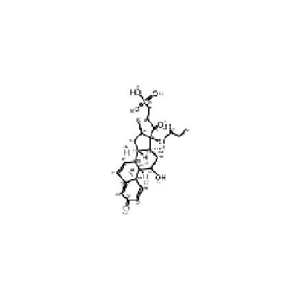 CCC(=O)O[C@]1(C(=O)CCS(=O)(=O)O)C(C)C[C@H]2[C@@H]3C=CC4=CC(=O)C=C[C@]4(C)[C@H]3C(O)C[C@@]21C